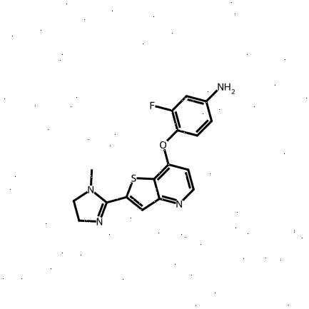 CN1CCN=C1c1cc2nccc(Oc3ccc(N)cc3F)c2s1